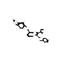 C[C@@H](NC(=O)c1c(-c2ccsc2)nc2c(C(=O)NCc3ccc4nc(N)sc4c3)cccn12)c1ccccc1